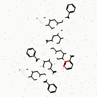 CCCCOC1C(OCCCC)[C@H](O[C@H]2OC(COC(=O)c3ccccc3)[C@@H](OCCCC)C(OCCCC)C2N=[N+]=[N-])C(C(=O)OC)O[C@H]1O[C@@H]1C(CO)O[C@@H](O[C@H]2C(C(=O)OC)O[C@@H](O[C@@H]3C(COC(=O)c4ccccc4)O[C@H](OC)C(N=[N+]=[N-])C3OCCCC)C(OC(=O)c3ccccc3)C2OCCCC)C(N=[N+]=[N-])C1OC(=O)c1ccccc1